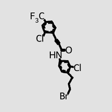 O=C(C#Cc1ccc(C(F)(F)F)cc1Cl)Nc1ccc(CCCBr)c(Cl)c1